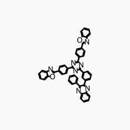 c1ccc(-c2nc3ccccc3nc2-c2cccc(-c3nc(-c4ccc(-c5nc6ccccc6o5)cc4)nc(-c4ccc(-c5nc6ccccc6o5)cc4)n3)c2)cc1